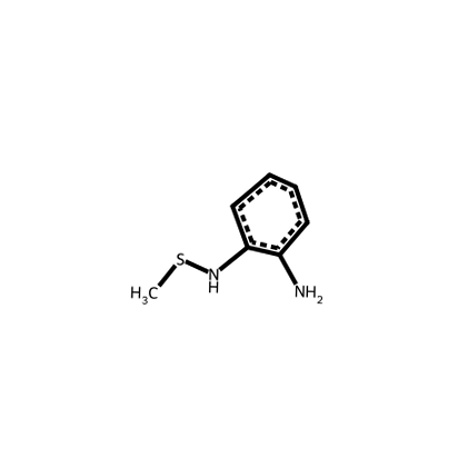 CSNc1ccccc1N